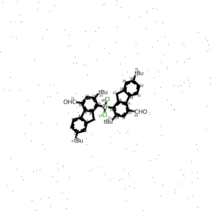 CC(C)(C)c1ccc2c(c1)Cc1c-2c(C=O)cc(C(C)(C)C)[c]1[Zr]([Cl])([Cl])[c]1c(C(C)(C)C)cc(C=O)c2c1Cc1cc(C(C)(C)C)ccc1-2